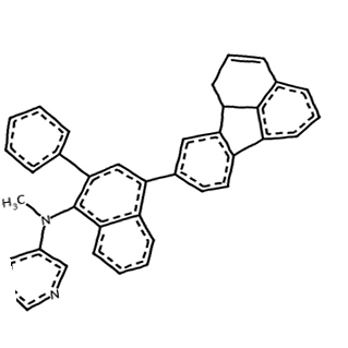 CN(c1cccnc1)c1c(-c2ccccc2)cc(-c2ccc3c(c2)C2CC=Cc4cccc-3c42)c2ccccc12